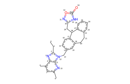 CCc1nc2c(C)cc(C)nc2n1Cc1ccc2c(c1)CCc1ccccc1C2Cc1noc(=O)[nH]1